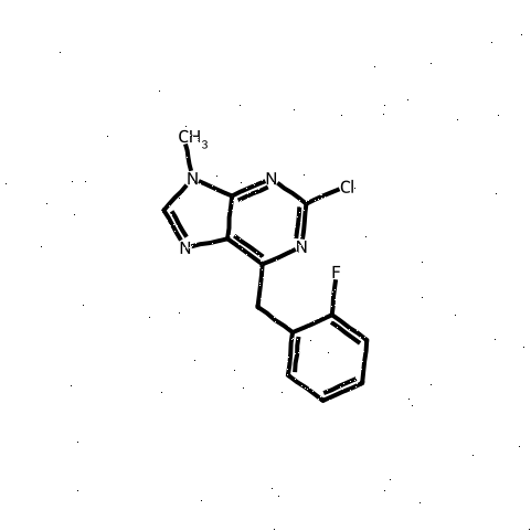 Cn1cnc2c(Cc3ccccc3F)nc(Cl)nc21